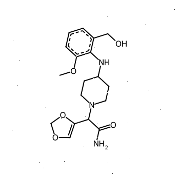 COc1cccc(CO)c1NC1CCN(C(C(N)=O)C2=COCO2)CC1